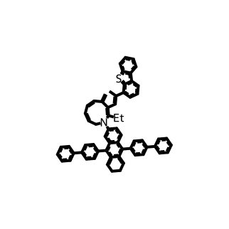 C=C1/C=C\C=C/CN(c2ccc3c(-c4ccc(-c5ccccc5)cc4)c4c(c(-c5ccc(-c6ccccc6)cc5)c3c2)=CCCC=4)/C(CC)=C1/C=C(\C)c1cccc2c1sc1ccccc12